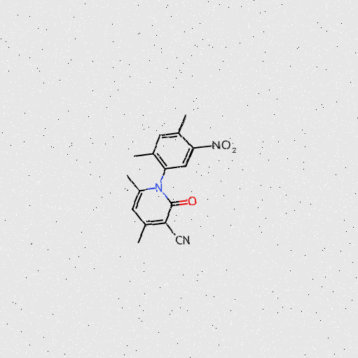 Cc1cc(C)c([N+](=O)[O-])cc1-n1c(C)cc(C)c(C#N)c1=O